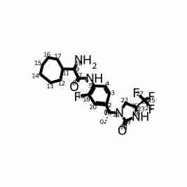 C[C@H](c1ccc(NC(=O)C(N)C2CCCCCC2)c(F)c1)N1C[C@@H](C(F)(F)F)NC1=O